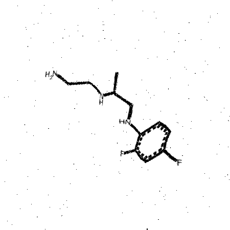 CC(CNc1ccc(F)cc1F)NCCN